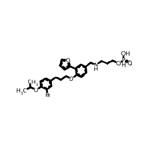 CC(C)Oc1ccc(CCCOc2ccc(CNCCCO[PH](=O)O)cc2-c2ccco2)cc1Br